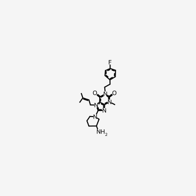 CC(C)=CCn1c(N2CCCC(N)C2)nc2c1c(=O)n(CCc1ccc(F)cc1)c(=O)n2C